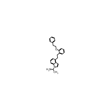 CC(N)n1ccc2c(CCc3ccccc3OCCc3ccccc3)cccc21